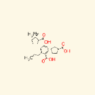 C=CCc1ccccc1C(=O)O.O=C(O)C1CCCC1.O=C(O)C1CCCC1.[PbH2]